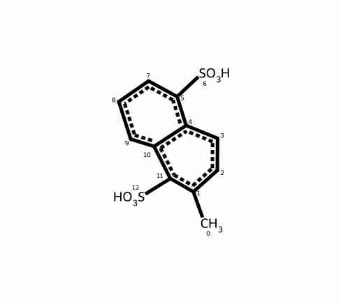 Cc1ccc2c(S(=O)(=O)O)cccc2c1S(=O)(=O)O